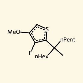 CCCCCCC(C)(CCCCC)c1scc(OC)c1F